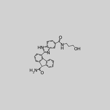 NC(=O)[C@@H]1c2ccccc2-c2c(-c3nc4cc(C(=O)NCCCO)ccc4[nH]3)cccc21